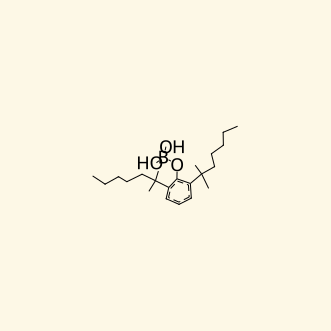 CCCCCC(C)(C)c1cccc(C(C)(C)CCCCC)c1OB(O)O